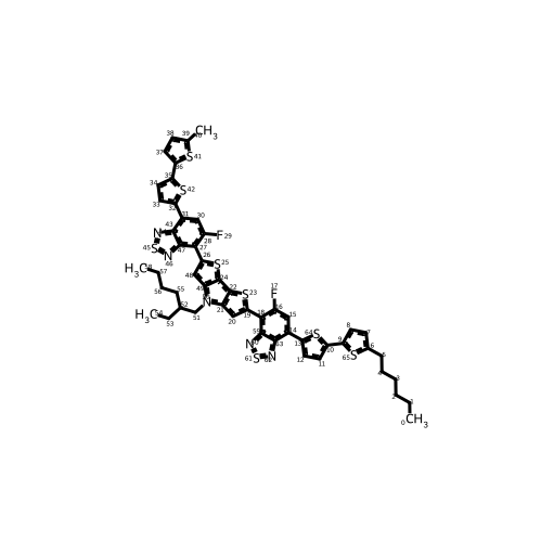 CCCCCCc1ccc(-c2ccc(-c3cc(F)c(-c4cc5c(s4)c4sc(-c6c(F)cc(-c7ccc(-c8ccc(C)s8)s7)c7nsnc67)cc4n5CC(CC)CCCC)c4nsnc34)s2)s1